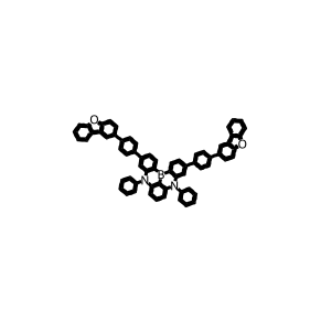 c1ccc(N2c3cc(-c4ccc(-c5ccc6oc7ccccc7c6c5)cc4)ccc3B3c4ccc(-c5ccc(-c6ccc7oc8ccccc8c7c6)cc5)cc4N(c4ccccc4)c4cccc2c43)cc1